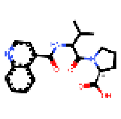 CC(C)C(NC(=O)c1ccnc2ccccc12)C(=O)N1CCC[C@H]1C(=O)O